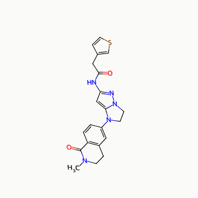 CN1CCc2cc(N3CCn4nc(NC(=O)Cc5ccsc5)cc43)ccc2C1=O